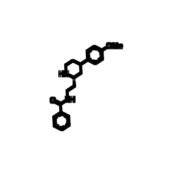 COc1ccc(C2CCN[C@H](CCNC(=O)c3ccccc3)C2)cc1